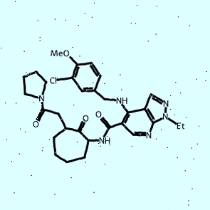 CCn1ncc2c(NCc3ccc(OC)c(Cl)c3)c(C(=O)NC3CCCCC(CC(=O)N4CCCC4)C3=O)cnc21